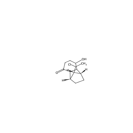 CC(Cl)[C@H]1[C@@H]2CC[C@H]1C1C(O)CCC(=O)C12